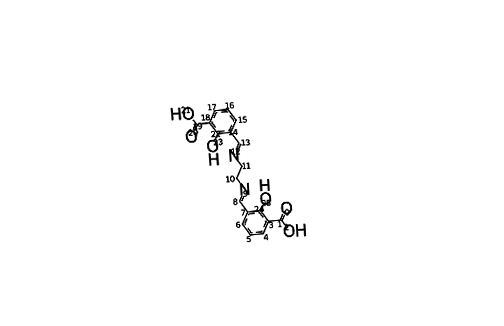 O=C(O)c1cccc(C=NCCN=Cc2cccc(C(=O)O)c2O)c1O